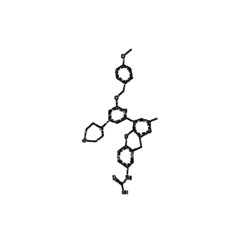 COc1ccc(COc2cc(N3CCOCC3)cc(-c3cc(C)cc4c3Oc3ccc(NC(=O)O)cc3C4)n2)cc1